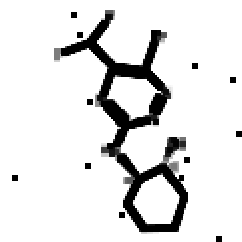 O[C@@H]1CCCC[C@H]1Nc1nnc(Br)c(C(F)F)n1